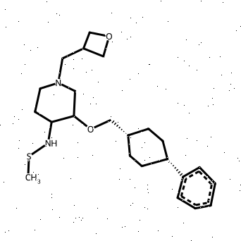 CSNC1CCN(CC2COC2)CC1OC[C@H]1CC[C@@H](c2ccccc2)CC1